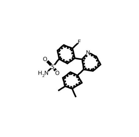 Cc1ccc(-c2cccnc2-c2cc(S(N)(=O)=O)ccc2F)cc1C